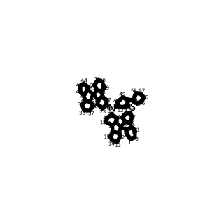 c1ccc(C2(c3ccccc3)c3ccccc3-c3ccc(N(c4ccc5c(c4)-c4ccccc4C54c5ccccc5-c5ccccc54)c4ccc5c(c4)sc4ccccc45)cc32)cc1